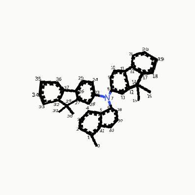 Cc1cccc2c(N(c3ccc4c(c3)C(C)(C)c3ccccc3-4)c3ccc4c(c3)C(C)(C)c3ccccc3-4)cccc12